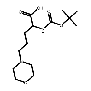 CC(C)(C)OC(=O)NC(CCCN1CCOCC1)C(=O)O